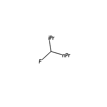 [CH2]CCC(F)C(C)C